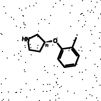 Cc1ccccc1O[C@@H]1CCNC1